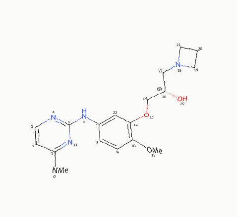 CNc1ccnc(Nc2ccc(OC)c(OC[C@@H](O)CN3CCC3)c2)n1